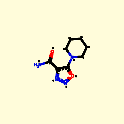 NC(=O)c1nnoc1N1CCCCC1